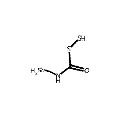 O=C([NH][SbH2])SS